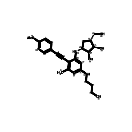 COc1ccc(C#Cc2c(C)nc(NCCCO)nc2N[C@@H]2C[C@H](CO)[C@@H](O)[C@H]2O)cn1